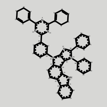 C1=CCCC(c2nc(C3=CCCC=C3)nc(-c3cccc(-n4c5ccc6c7ccccc7[nH]c6c5c5c4nc(-c4ccccc4)n5-c4ccccc4)c3)n2)=C1